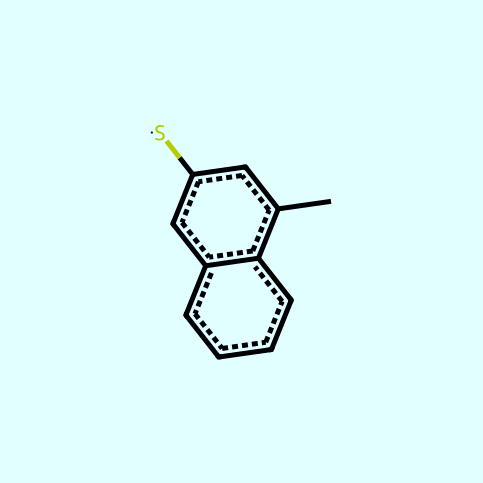 Cc1cc([S])cc2ccccc12